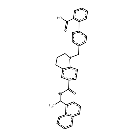 CC(NC(=O)c1ccc2c(c1)CCCN2Cc1ccc(-c2ccccc2C(=O)O)cc1)c1cccc2ccccc12